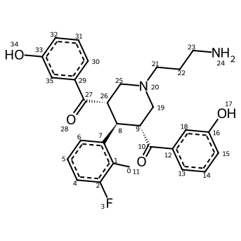 Cc1c(F)cccc1[C@@H]1[C@@H](C(=O)c2cccc(O)c2)CN(CCCN)C[C@H]1C(=O)c1cccc(O)c1